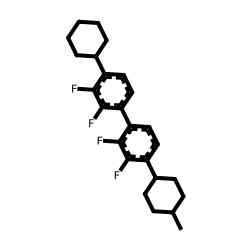 CC1CCC(c2ccc(-c3ccc(C4CCCCC4)c(F)c3F)c(F)c2F)CC1